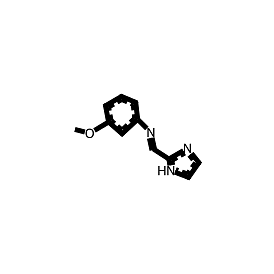 COc1cccc(/N=C/c2ncc[nH]2)c1